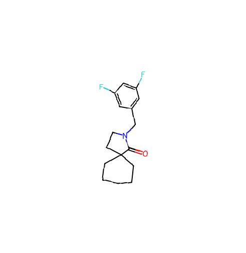 O=C1N(Cc2cc(F)cc(F)c2)CCC12CCCCC2